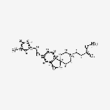 CC(C)(C)OC(=O)CCN1CCC2(CC1)COc1cc(OCc3cc(Br)cs3)ccc12